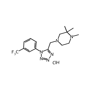 CN1CCN(Cc2nnnn2-c2cccc(C(F)(F)F)c2)CC1(C)C.Cl